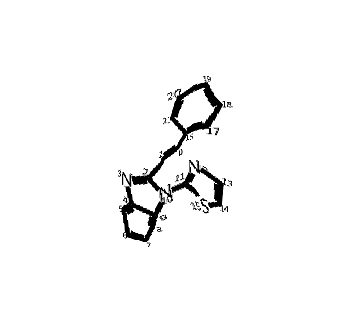 C(=Cc1nc2ccccc2n1-c1nccs1)c1ccccc1